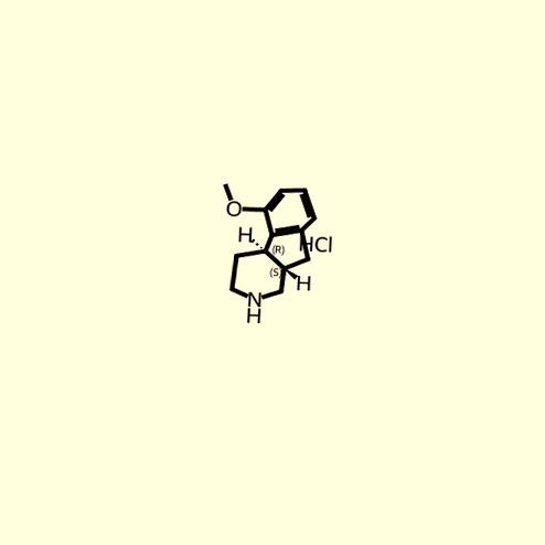 COc1cccc2c1[C@@H]1CCNC[C@H]1C2.Cl